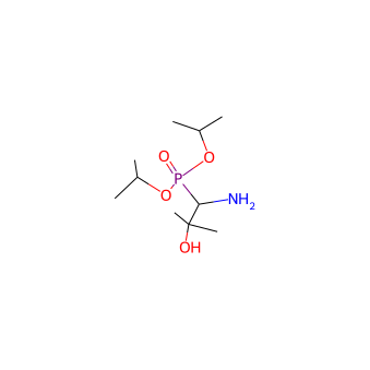 CC(C)OP(=O)(OC(C)C)C(N)C(C)(C)O